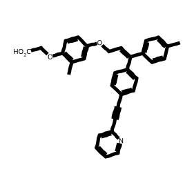 Cc1ccc(C(=CCOc2ccc(OCC(=O)O)c(C)c2)c2ccc(C#Cc3ccccn3)cc2)cc1